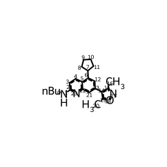 CCCCNc1ccc2c(C3CCCC3)cc(-c3c(C)noc3C)cc2n1